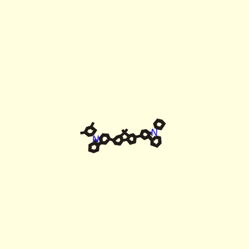 Cc1cc(C)cc(-n2c3ccccc3c3cc(-c4ccc5c(c4)C(C)(C)c4cc(-c6ccc7c(c6)c6ccccc6n7-c6ccccc6)ccc4-5)ccc32)c1